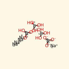 OB(O)O.OB(O)O.[Na+].[Na+].[Na+].[Na+].[Na+].[O-]B([O-])O.[O-]B([O-])[O-]